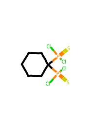 S=P(Cl)(Cl)C1(P(=S)(Cl)Cl)CCCCC1